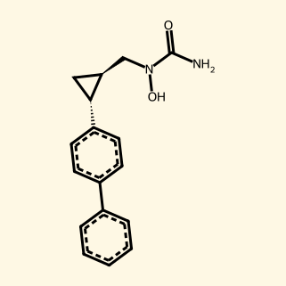 NC(=O)N(O)C[C@@H]1C[C@H]1c1ccc(-c2ccccc2)cc1